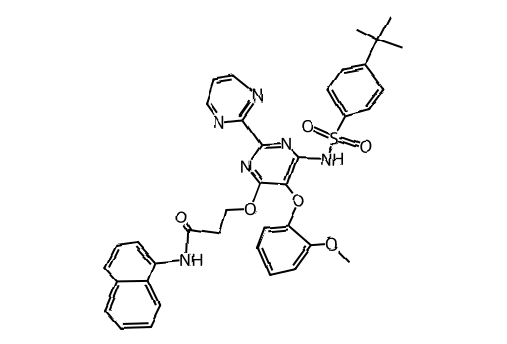 COc1ccccc1Oc1c(NS(=O)(=O)c2ccc(C(C)(C)C)cc2)nc(-c2ncccn2)nc1OCCC(=O)Nc1cccc2ccccc12